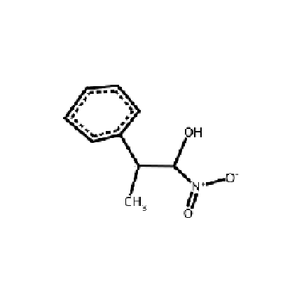 C[C](c1ccccc1)C(O)[N+](=O)[O-]